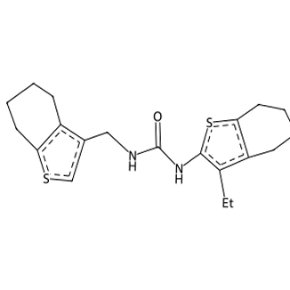 CCc1c(NC(=O)NCc2csc3c2CCCC3)sc2c1CCCC2